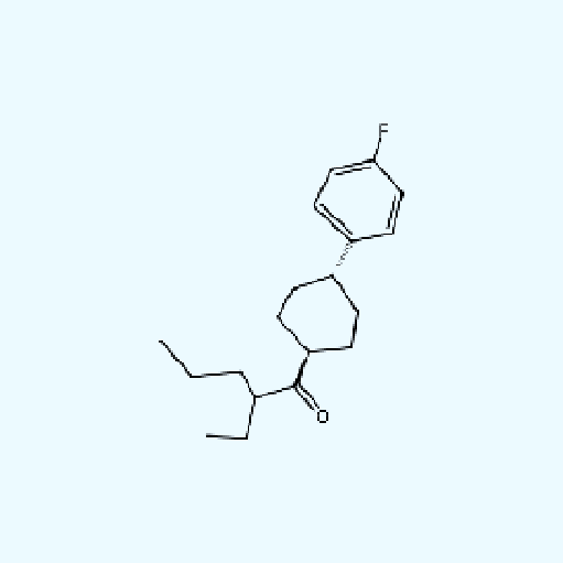 CCCC(CC)C(=O)[C@H]1CC[C@H](c2ccc(F)cc2)CC1